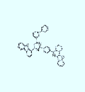 c1ccc(-c2cccc(-c3cc(-c4cccc5c4sc4ccccc45)nc(-c4ccc(-c5nc6c7ccccc7oc6c6ccccc56)cc4)n3)c2)cc1